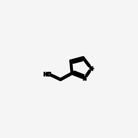 OCC1=N[N]C=C1